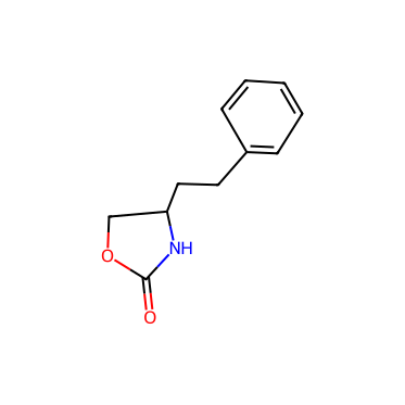 O=C1NC(CCc2ccccc2)CO1